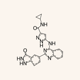 O=C(NC1CC1)c1cc(Nc2nc(-c3ccc4[nH][nH]c(=O)c4c3)nc3ccccc23)[nH]n1